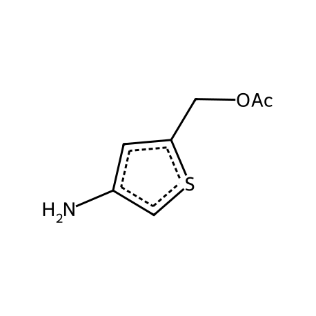 CC(=O)OCc1cc(N)cs1